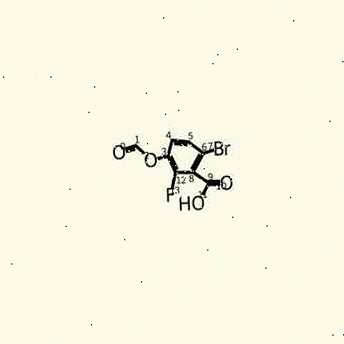 O=COc1ccc(Br)c(C(=O)O)c1F